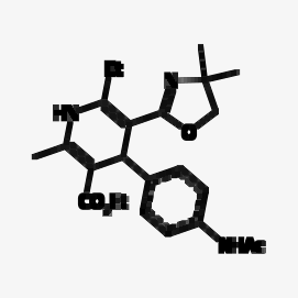 CCOC(=O)C1=C(C)NC(CC)=C(C2=NC(C)(C)CO2)C1c1ccc(NC(C)=O)cc1